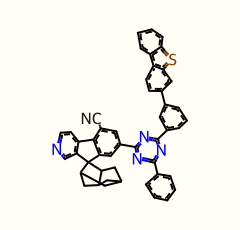 N#Cc1cc(-c2nc(-c3ccccc3)nc(-c3cccc(-c4ccc5c(c4)sc4ccccc45)c3)n2)cc2c1-c1ccncc1C21C2CC3CC(C2)C1C3